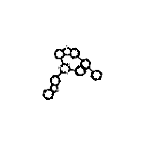 c1ccc(-c2ccc(-c3ccc4sc5cccc(-c6nc(-c7ccccc7)nc(-c7ccc8c(c7)oc7ccccc78)n6)c5c4c3)cc2)cc1